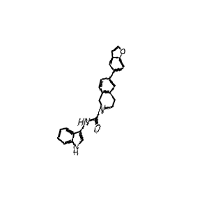 O=C(Nc1c[nH]c2ccccc12)N1CCc2cc(-c3ccc4occc4c3)ccc2C1